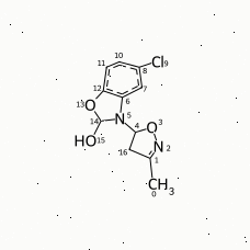 CC1=NOC(N2c3cc(Cl)ccc3OC2O)C1